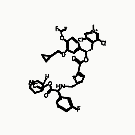 C[n+]1cc(Cl)c(C[C@H](OC(=O)c2ccc(CNC(C(=O)O[C@H]3CN4CCC3CC4)c3cccc(F)c3)s2)c2ccc(OC(F)F)c(OCC3CC3)c2)c(Cl)c1